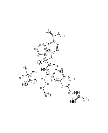 C[C@@](Cc1ccc(C(=N)N)cc1)(C(=O)N[C@@H](CCCN)C(=O)NC(CCCNC(=N)N)C(N)=O)c1ccccc1.O=C(O)C(F)(F)F